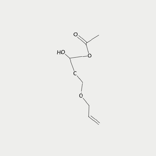 C=CCOCCC(O)OC(C)=O